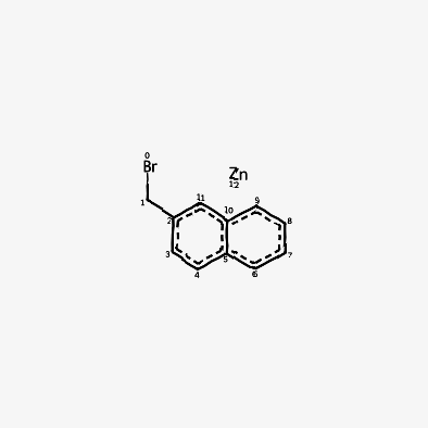 BrCc1ccc2ccccc2c1.[Zn]